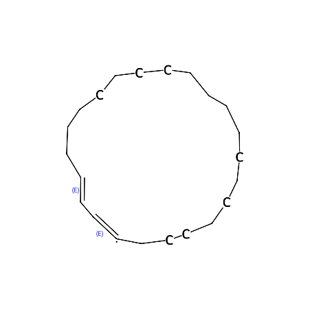 [C]1=C/C=C/CCCCCCCCCCCCCCCCCC/1